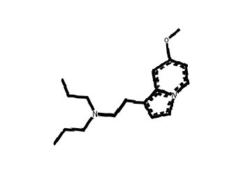 CCCN(CCC)CCc1ccn2ccc(OC)cc12